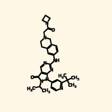 CC(C)n1c(=O)c2cnc(Nc3ccc4c(c3)CCN(CC(=O)N3CCC3)C4)nc2n1-c1ccnc(C(C)(C)C)c1